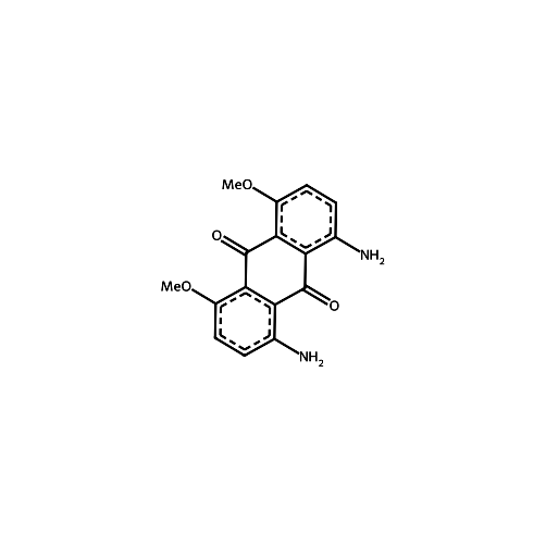 COc1ccc(N)c2c1C(=O)c1c(OC)ccc(N)c1C2=O